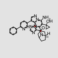 Nc1c(C2(O)CC2)c([C@@H]2CC3CC[C@@H](C2)N3C(=O)c2nc[nH]n2)nc2c(-c3ccc(-c4ccccc4)nc3)cnn12